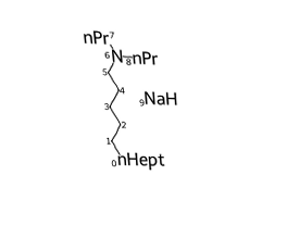 CCCCCCCCCCCCN(CCC)CCC.[NaH]